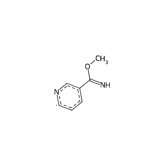 COC(=N)c1cc[c]nc1